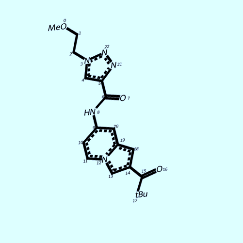 COCCn1cc(C(=O)Nc2ccn3cc(C(=O)C(C)(C)C)cc3c2)nn1